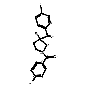 CCC1(C(=O)c2ccc(F)cc2)CCN(C(=O)c2ccc(F)cc2)C1